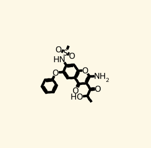 CC(O)C(=O)c1c(N)oc2cc(NS(C)(=O)=O)c(Oc3ccccc3)cc2c1=O